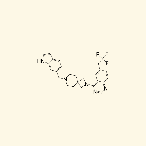 FC(F)(F)Cc1ccc2ncnc(N3CC4(CCN(Cc5ccc6cc[nH]c6c5)CC4)C3)c2c1